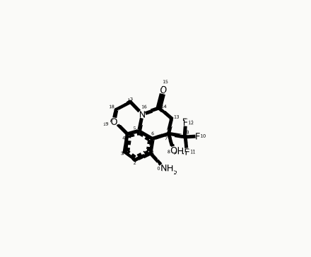 Nc1ccc2c3c1C(O)(C(F)(F)F)CC(=O)N3CCO2